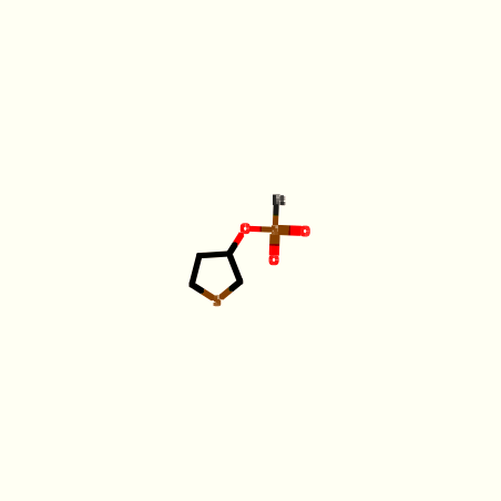 CCS(=O)(=O)OC1CCSC1